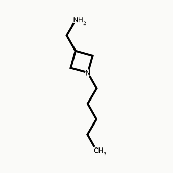 CCCCCN1CC(CN)C1